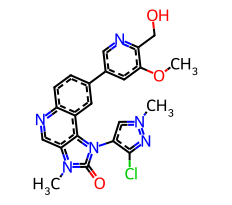 COc1cc(-c2ccc3ncc4c(c3c2)n(-c2cn(C)nc2Cl)c(=O)n4C)cnc1CO